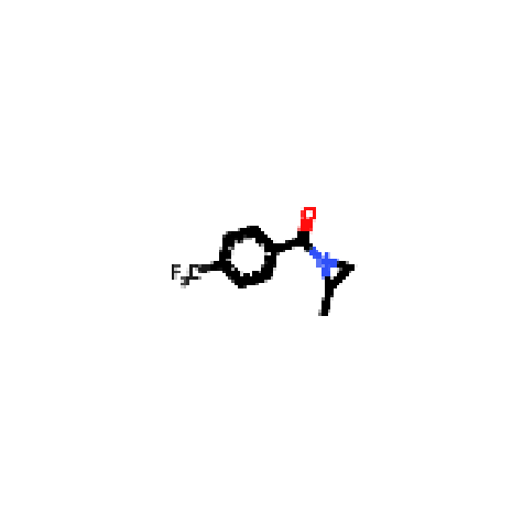 CC1CN1C(=O)c1ccc(C(F)(F)F)cc1